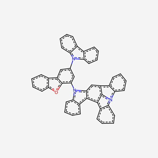 c1ccc2c(c1)oc1c(-n3c4ccccc4c4c5c6ccccc6n6c7ccccc7c(cc43)c56)cc(-n3c4ccccc4c4ccccc43)cc12